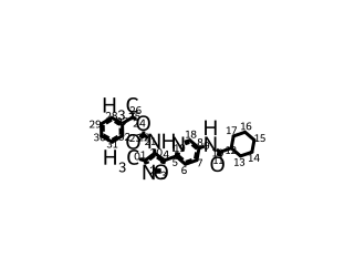 Cc1noc(-c2ccc(NC(=O)C3CCCCC3)cn2)c1NC(=O)O[C@H](C)c1ccccc1